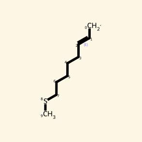 [CH2]/C=C/CCCCCSC